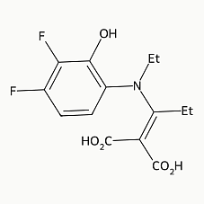 CCC(=C(C(=O)O)C(=O)O)N(CC)c1ccc(F)c(F)c1O